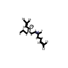 CCCN(C/C=C(/C)CCC=C(C)C)C(=O)C=C(C)C